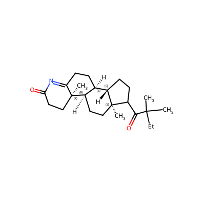 CCC(C)(C)C(=O)C1CC[C@H]2[C@@H]3CCC4=NC(=O)CC[C@]4(C)[C@@H]3CC[C@]12C